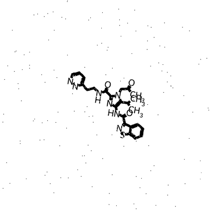 CC(=O)Cn1c(C(=O)NCCc2cccnn2)nc(NC(=O)c2nsc3ccccc23)c1C(C)C